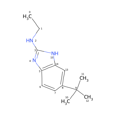 CCNc1nc2ccc(C(C)(C)C)cc2[nH]1